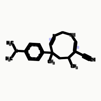 C#C/C1=C/NC/N=C\C(C)(c2ccc(N(C)C)cc2)CC1C